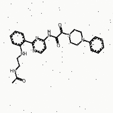 CC(=O)NCCNc1ccccc1-c1nccc(NC(=O)C(=O)N2CCN(c3ccccc3)CC2)n1